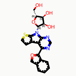 OC[C@H]1O[C@@H](n2c3ncnc(-c4occ5ccccc45)c3c3ccsc32)[C@H](O)[C@@H]1O